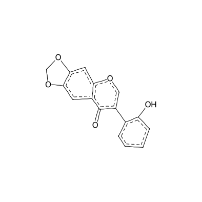 O=c1c(-c2ccccc2O)coc2cc3c(cc12)OCO3